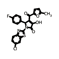 Cc1ccc(C(=O)C2=C(O)C(=O)N(c3nc4ccc(Cl)cc4s3)C2c2ccc(F)cc2)o1